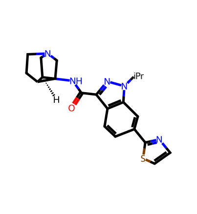 CC(C)n1nc(C(=O)N[C@@H]2CN3CCC2CC3)c2ccc(-c3nccs3)cc21